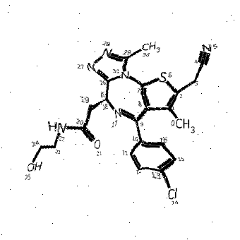 Cc1c(CC#N)sc2c1C(c1ccc(Cl)cc1)=N[C@@H](CC(=O)NCCO)c1nnc(C)n1-2